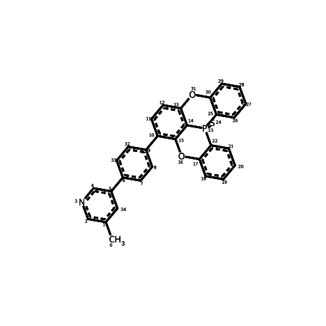 Cc1cncc(-c2ccc(-c3ccc4c5c3Oc3ccccc3P5(=S)c3ccccc3O4)cc2)c1